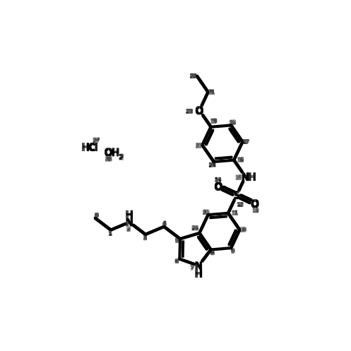 CCNCCc1c[nH]c2ccc(S(=O)(=O)Nc3ccc(OCC)cc3)cc12.Cl.O